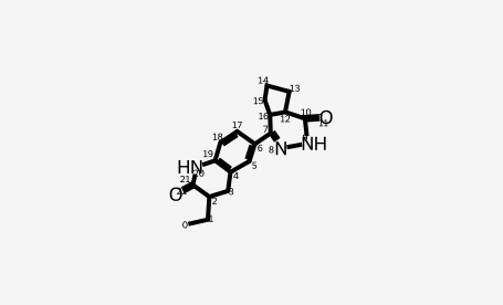 CCC1Cc2cc(C3=NNC(=O)C4CCCC34)ccc2NC1=O